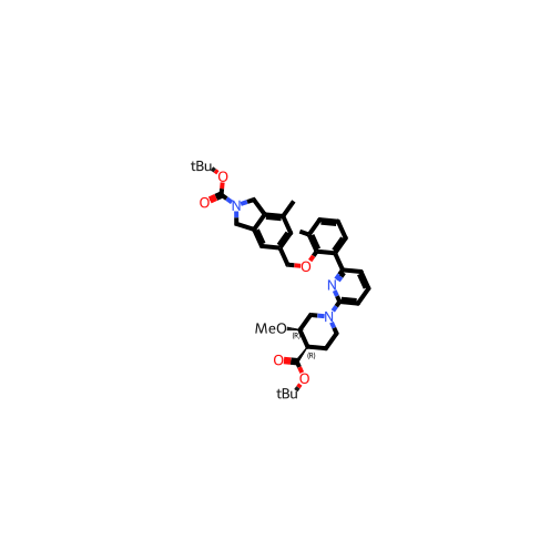 CO[C@H]1CN(c2cccc(-c3cccc(C)c3OCc3cc(C)c4c(c3)CN(C(=O)OC(C)(C)C)C4)n2)CC[C@H]1C(=O)OC(C)(C)C